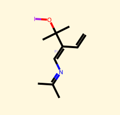 C=C/C(=C\N=C(C)C)C(C)(C)OI